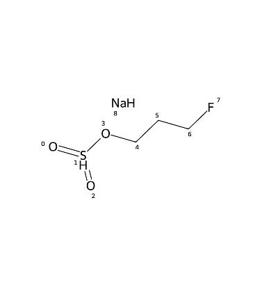 O=[SH](=O)OCCCF.[NaH]